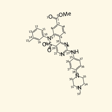 COC(=O)c1ccc2c(c1)N(c1cccc(C)c1)S(=O)(=O)c1cnc(Nc3ccc(N4CCN(C)CC4)cc3)nc1-2